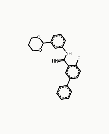 N=C(Nc1cccc(C2OCCCO2)c1)c1cc(-c2ccccc2)ccc1F